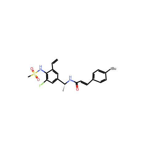 C=Cc1cc([C@@H](C)NC(=O)/C=C/c2ccc(C(C)(C)C)cc2)cc(F)c1NS(C)(=O)=O